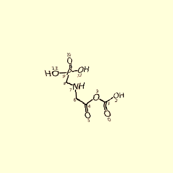 O=C(O)OC(=O)CNCP(=O)(O)O